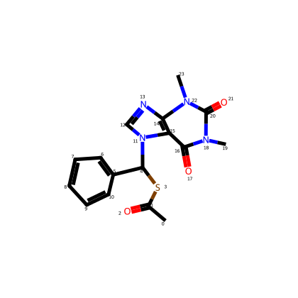 CC(=O)SC(c1ccccc1)n1cnc2c1c(=O)n(C)c(=O)n2C